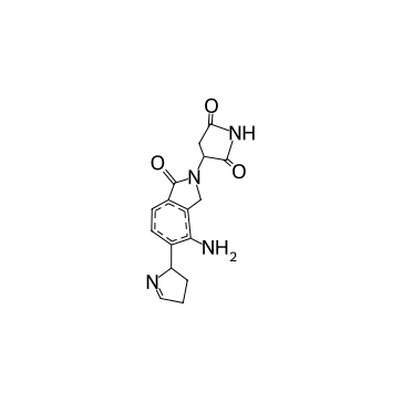 Nc1c(C2CCC=N2)ccc2c1CN(C1CC(=O)NC1=O)C2=O